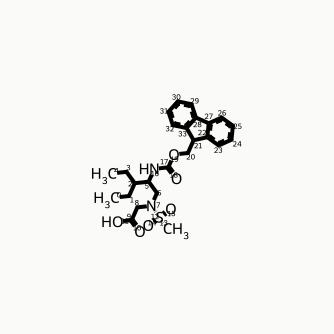 CCC(CC)C(CN(CC(=O)O)S(C)(=O)=O)NC(=O)OCC1c2ccccc2-c2ccccc21